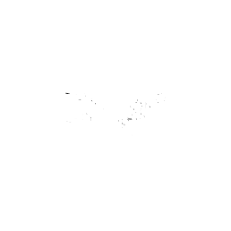 C#Cc1ccc(CN(CCOC(=O)OC[C@H]2O[C@@H](n3cnc4c(NC(=O)c5ccccc5)ncnc43)C[C@@H]2OC(C)=O)CC2CCCCN2C(=O)OCC=C)cc1